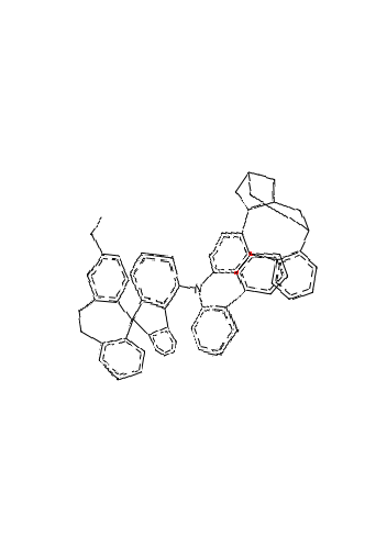 CCc1ccc2c(c1)CCc1ccccc1C21c2ccccc2-c2c(N(c3ccc4c(c3)-c3ccccc3C3CC5CC(C3)C4C5)c3ccccc3-c3ccccc3)cccc21